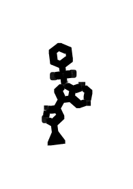 O=S(=O)(c1ccccc1)n1cc(-c2cc(C3CC3)on2)c2cncnc21